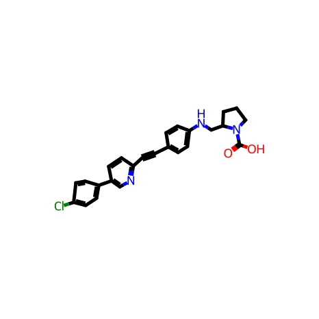 O=C(O)N1CCCC1CNc1ccc(C#Cc2ccc(-c3ccc(Cl)cc3)cn2)cc1